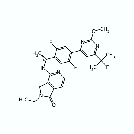 CCN1Cc2c(ccnc2N[C@@H](C)c2cc(F)c(-c3cc(C(C)(C)F)nc(OC)n3)cc2F)C1=O